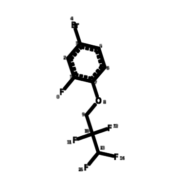 Fc1cc(Br)ccc1OCC(F)(F)C(F)F